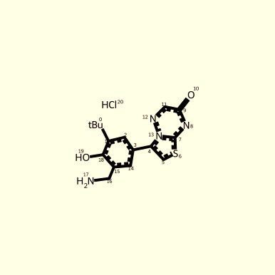 CC(C)(C)c1cc(-c2csc3nc(=O)cnn23)cc(CN)c1O.Cl